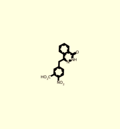 O=C(O)c1cc(Cc2n[nH]c(=O)c3ccccc23)ccc1[N+](=O)[O-]